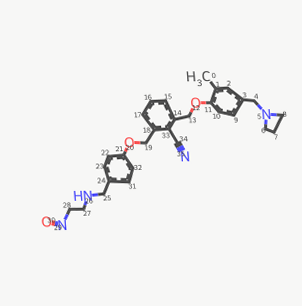 Cc1cc(CN2CCC2)ccc1OCc1cccc(COc2ccc(CNCCN=O)cc2)c1C#N